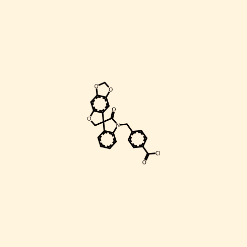 O=C(Cl)c1ccc(CN2C(=O)C3(COc4cc5c(cc43)OCO5)c3ccccc32)cc1